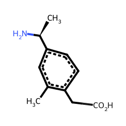 Cc1cc([C@H](C)N)ccc1CC(=O)O